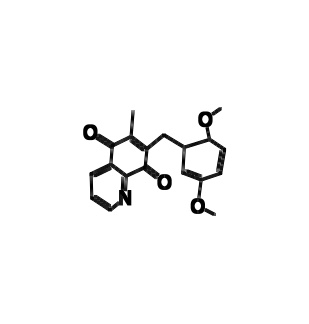 COC1=CC(CC2=C(C)C(=O)c3cccnc3C2=O)C(OC)C=C1